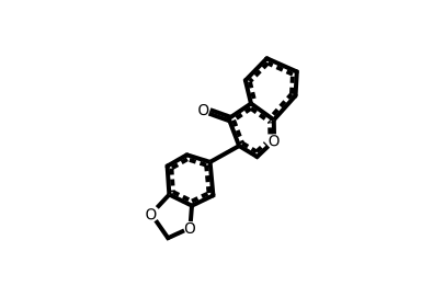 O=c1c(-c2ccc3c(c2)OCO3)coc2ccccc12